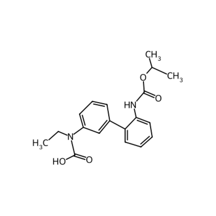 CCN(C(=O)O)c1cccc(-c2ccccc2NC(=O)OC(C)C)c1